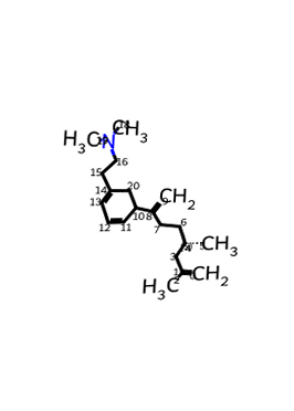 C=C(C)C[C@@H](C)CCC(=C)C1C=CC=C(CCN(C)C)C1